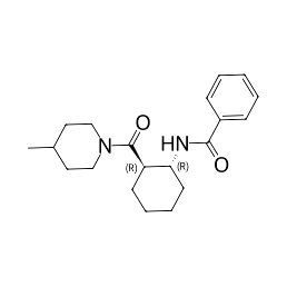 CC1CCN(C(=O)[C@@H]2CCCC[C@H]2NC(=O)c2ccccc2)CC1